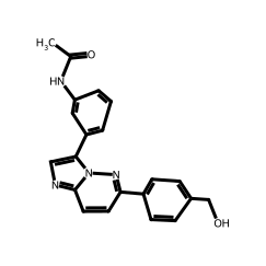 CC(=O)Nc1cccc(-c2cnc3ccc(-c4ccc(CO)cc4)nn23)c1